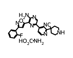 N#CC1(c2cc(-c3cnc(N)c(-c4cc(-c5ccccc5F)no4)n3)ccn2)CCNCC1.NC(=O)O